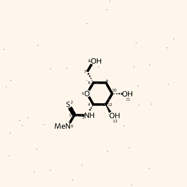 CNC(=S)N[C@@H]1O[C@H](CO)C[C@H](O)[C@H]1O